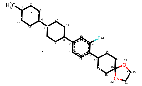 CC1CCC(C2CCC(c3ccc(C4CCC5(CC4)OCCO5)c(F)c3)CC2)CC1